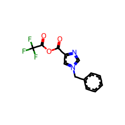 O=C(OC(=O)C(F)(F)F)c1cn(Cc2ccccc2)cn1